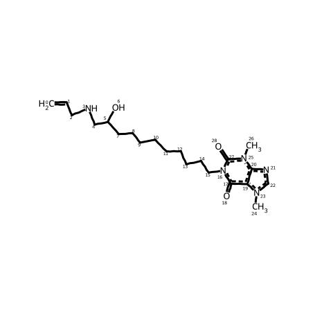 C=CCNCC(O)CCCCCCCCCn1c(=O)c2c(ncn2C)n(C)c1=O